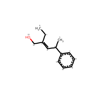 CC/C(=C\C(C)c1ccccc1)CO